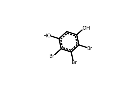 Oc1cc(O)c(Br)c(Br)c1Br